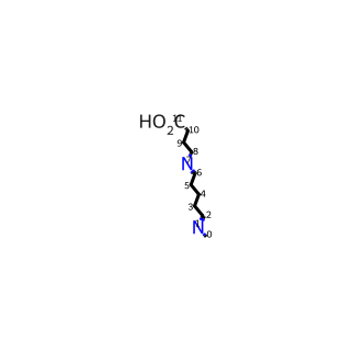 C/N=C/CCC/C=N/CCCC(=O)O